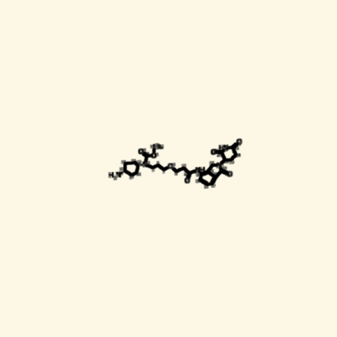 CC(C)(C)OC(=O)N(CCCOCCC(=O)Nc1cccc2c1CN(C1CCC(=O)NC1=O)C2=O)[C@H]1CC[C@@H](N)CC1